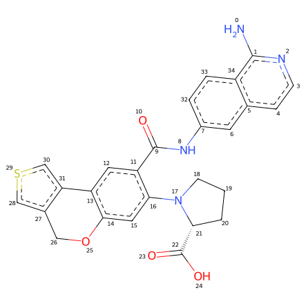 Nc1nccc2cc(NC(=O)c3cc4c(cc3N3CCC[C@@H]3C(=O)O)OCc3cscc3-4)ccc12